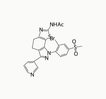 CC(=O)Nc1nc2c(s1)-c1c(c(-c3cccnc3)nn1-c1ccc(S(C)(=O)=O)cc1Br)CC2